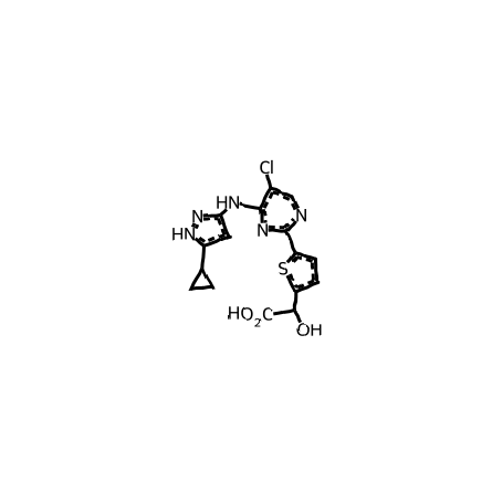 O=C(O)C(O)c1ccc(-c2ncc(Cl)c(Nc3cc(C4CC4)[nH]n3)n2)s1